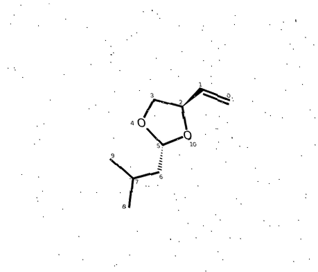 C=C[C@@H]1CO[C@@H](CC(C)C)O1